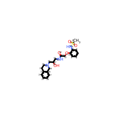 CS(=O)(=O)Nc1ccccc1OCC(=O)NCC(O)CN1CCc2ccccc2C1